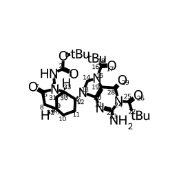 CC(C)(C)OC(=O)NN1C(=O)C[C@@H]2CC[C@@H](N3CN(C(=O)C(C)(C)C)c4c3nc(N)n(C(=O)C(C)(C)C)c4=O)[C@H]1C2